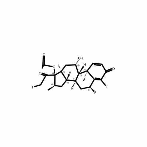 CC(=O)O[C@]1(C(=O)CF)[C@H](C)C[C@H]2[C@@H]3C[C@H](F)C4=C(F)C(=O)C=C[C@]4(C)[C@H]3[C@@H](O)C[C@@]21C